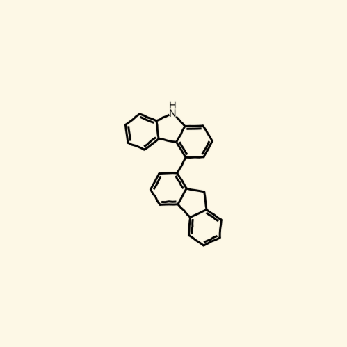 c1ccc2c(c1)Cc1c-2cccc1-c1cccc2[nH]c3ccccc3c12